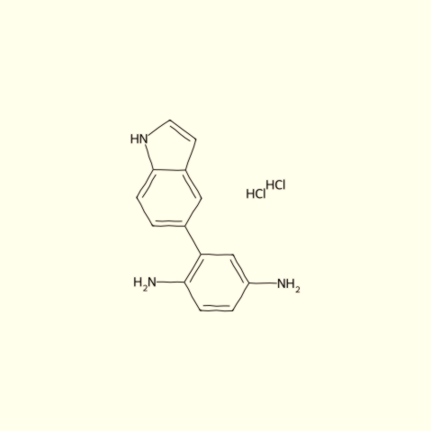 Cl.Cl.Nc1ccc(N)c(-c2ccc3[nH]ccc3c2)c1